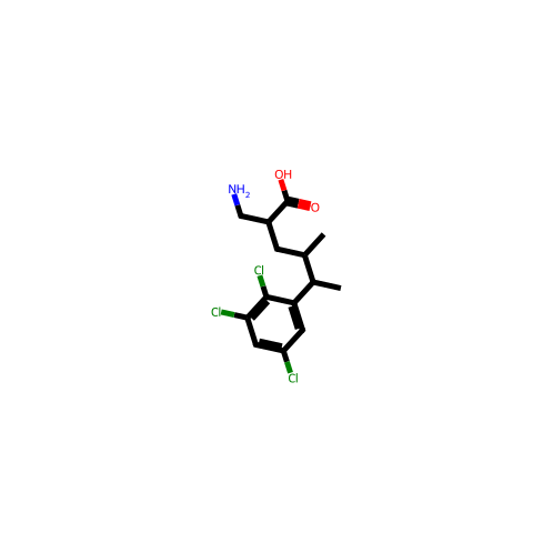 CC(CC(CN)C(=O)O)C(C)c1cc(Cl)cc(Cl)c1Cl